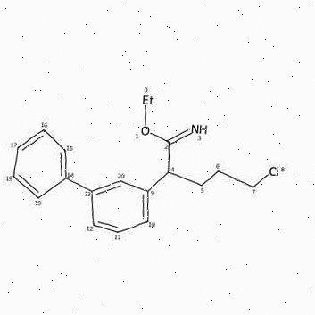 CCOC(=N)C(CCCCl)c1cccc(-c2ccccc2)c1